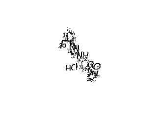 Cl.O=C1O[C@]2(CC[C@H](CNc3ccn(-c4ccccc4F)n3)CC2)CN1c1ccccn1